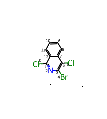 Clc1nc(Br)c(Cl)c2ccccc12